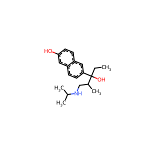 CCC(O)(c1ccc2cc(O)ccc2c1)C(C)CNC(C)C